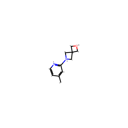 Cc1ccnc(N2CC3(COC3)C2)c1